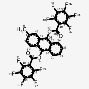 Cc1ccc2c(OC(=O)c3c(F)c(F)c(F)c(F)c3F)c3ccccc3c(OC(=O)c3c(F)c(F)c(F)c(F)c3F)c2c1